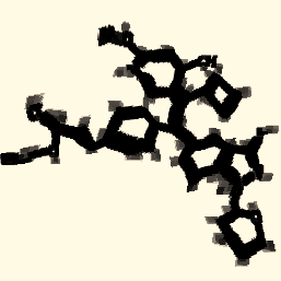 COc1cc(C)c(C(=C(c2ccc(C=CC(=O)OC(C)(C)C)cc2)c2ccc3c(c2)c(F)nn3C2CCCCO2)C2CCC2)cn1